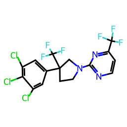 FC(F)(F)c1ccnc(N2CCC(c3cc(Cl)c(Cl)c(Cl)c3)(C(F)(F)F)C2)n1